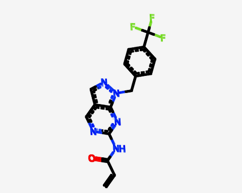 C=CC(=O)Nc1ncc2cnn(Cc3ccc(C(F)(F)F)cc3)c2n1